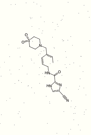 C/C=C(\C=C/CNC(=O)c1nc(C#N)c[nH]1)CN1CCS(=O)(=O)CC1